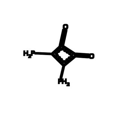 O=c1c(P)c(P)c1=O